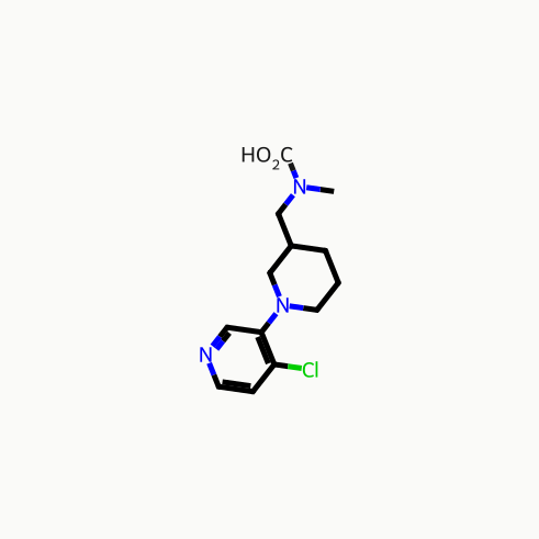 CN(CC1CCCN(c2cnccc2Cl)C1)C(=O)O